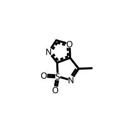 CC1=NS(=O)(=O)c2ncoc21